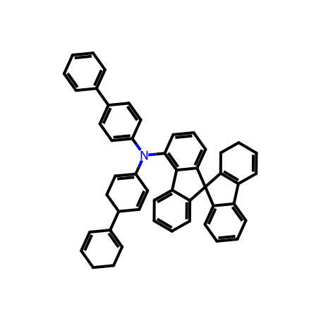 C1=CC(C2C=CC(N(c3ccc(-c4ccccc4)cc3)c3cccc4c3-c3ccccc3C43C4=C(C=CCC4)c4ccccc43)=CC2)=CCC1